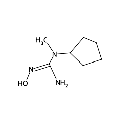 CN(/C(N)=N/O)C1CCCC1